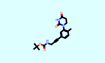 Cc1ccc(C#CCNC(=O)OC(C)(C)C)cc1N1CCC(=O)NC1=O